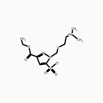 CCOC(=O)c1cc(S(=O)(=O)Cl)n(COCC[SiH](C)C)n1